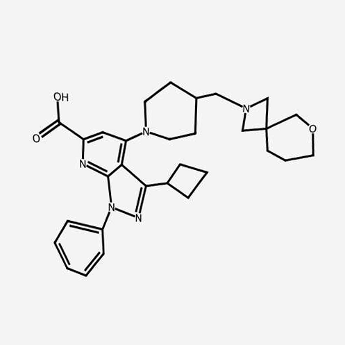 O=C(O)c1cc(N2CCC(CN3CC4(CCCOC4)C3)CC2)c2c(C3CCC3)nn(-c3ccccc3)c2n1